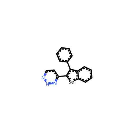 c1ccc(-c2c(-c3ccnnn3)[se]c3ccccc23)cc1